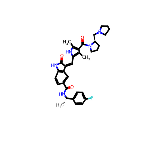 Cc1[nH]c(C=C2C(=O)Nc3ccc(C(=O)N[C@@H](C)c4ccc(F)cc4)cc32)c(C)c1C(=O)N1CCC[C@@H]1CN1CCCC1